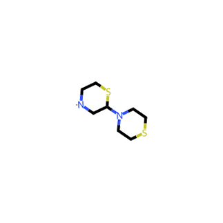 C1CSC(N2CCSCC2)C[N]1